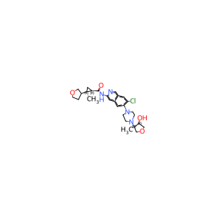 C[C@]1(C2CCOC2)C[C@H]1C(=O)Nc1cc2cc(N3CCN([C@]4(C)COC[C@@H]4O)CC3)c(Cl)cc2cn1